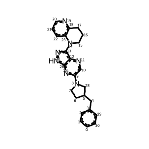 c1ccc(CC2CCN(c3cnc4c(N5CCCc6ncccc65)n[nH]c4n3)C2)cc1